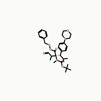 CC(C)C(c1ccc(N2CCOCC2)cc1)[C@@](C(=O)OOCc1ccccc1)(C(C)C=O)N(C)C(=O)OC(C)(C)C